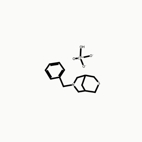 [O-][Cl+3]([O-])([O-])O.c1ccc(CN2CC3CSCC(C3)C2)cc1